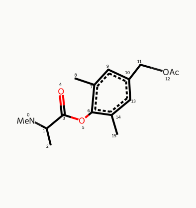 CNC(C)C(=O)Oc1c(C)cc(COC(C)=O)cc1C